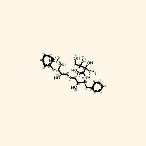 CC(C)(CO)C(C)(O)C(=O)N[C@@H](Cc1ccccc1)C(O)CNC[C@@H](O)[C@H](Cc1ccccc1)NC(=O)O